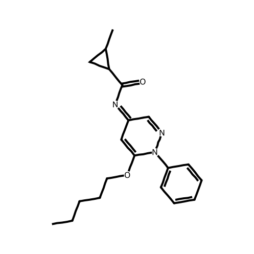 CCCCCOc1cc(=NC(=O)C2CC2C)cnn1-c1ccccc1